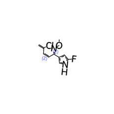 C=C(Cl)/C=C\C(=N\OC)c1c[nH]c(F)c1